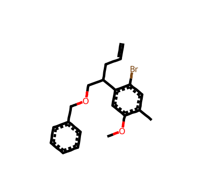 C=CCC(COCc1ccccc1)c1cc(OC)c(C)cc1Br